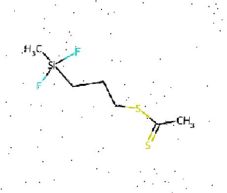 CC(=S)SCCC[Si](C)(F)F